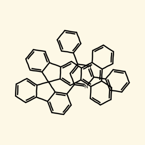 c1ccc(-c2cc(-c3cccc4c3C3(c5ccccc5-c5cc6c7ccccc7c7ccccc7c6cc53)c3ccccc3-4)nc(-c3ccccc3)n2)cc1